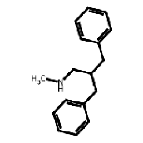 CNCC(Cc1ccccc1)Cc1ccccc1